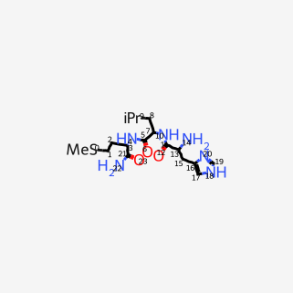 CSCCC(NC(=O)C(CC(C)C)NC(=O)C(N)Cc1c[nH]cn1)C(N)=O